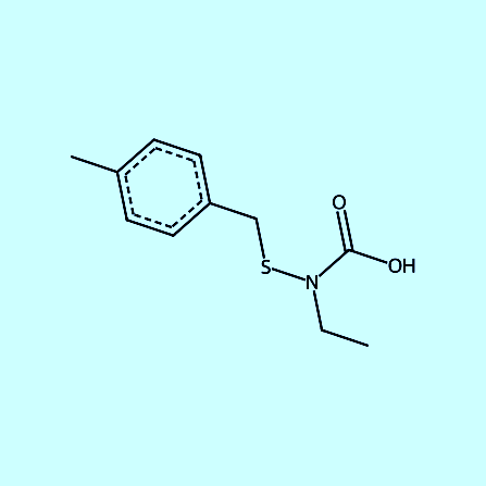 CCN(SCc1ccc(C)cc1)C(=O)O